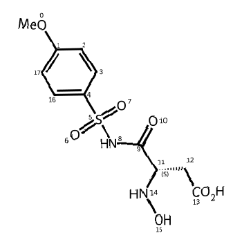 COc1ccc(S(=O)(=O)NC(=O)[C@H](CC(=O)O)NO)cc1